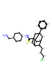 NC[C@H]1CC[C@H](NC(=S)C23CC4CC(c5ccccc5)(CC(C2)C4CCCCl)C3)CC1